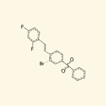 O=S(=O)(c1ccccc1)c1ccc(/C=C/c2ccc(F)cc2F)c(Br)c1